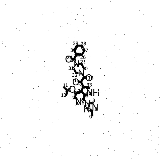 Cc1ncn(-c2ncc(OC(C)C)c3c(C(=O)C(=O)N4CCN(C(=O)c5ccccc5)CC4)c[nH]c23)n1